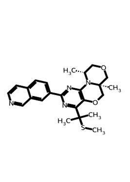 CSC(C)(C)c1nc(-c2ccc3ccncc3c2)nc2c1OC[C@]1(C)COC[C@@H](C)N21